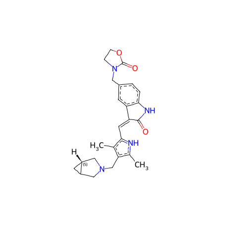 Cc1[nH]c(C=C2C(=O)Nc3ccc(CN4CCOC4=O)cc32)c(C)c1CN1CC2C[C@@H]2C1